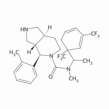 Cc1ccccc1[C@H]1[C@@H]2CNC[C@H]2CCN1C(=O)N(C)C(C)C1(C(F)(F)F)C=C(C(F)(F)F)C=CC1